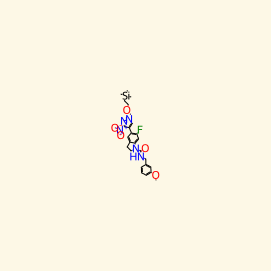 COc1cccc(CNC(=O)N2CCc3cc(-c4cn(COCC[Si](C)(C)C)nc4[N+](=O)[O-])c(F)cc32)c1